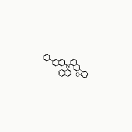 c1ccc(-c2ccc3cc(N(c4cccc5ccccc45)c4cccc5cc6c(cc45)oc4ccccc46)ccc3c2)cc1